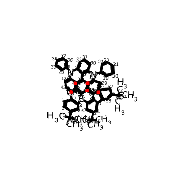 CC(C)(C)c1ccc2c(c1)B1c3c(cc(-c4c(N(c5ccccc5)c5ccccc5)cccc4N(c4ccccc4)c4ccccc4)cc3-n3c4ccc(C(C)(C)C)cc4c4cc(C(C)(C)C)cc1c43)O2